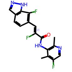 Cc1ncc(F)c(C)c1NC(=O)/C(F)=C/c1ccc2cn[nH]c2c1F